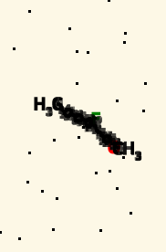 CCCC1CCC(c2ccc(-c3ccc(CCCCC4CCC(COC)CC4)c(F)c3)cc2)CC1